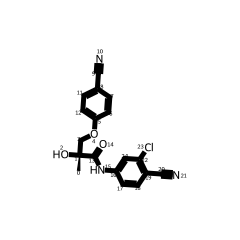 C[C@@](O)(COc1ccc(C#N)cc1)C(=O)Nc1ccc(C#N)c(Cl)c1